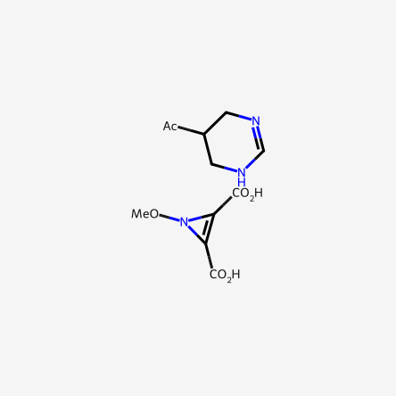 CC(=O)C1CN=CNC1.CON1C(C(=O)O)=C1C(=O)O